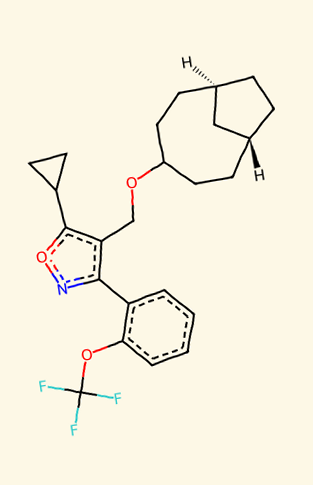 FC(F)(F)Oc1ccccc1-c1noc(C2CC2)c1COC1CC[C@H]2CC[C@H](CC1)C2